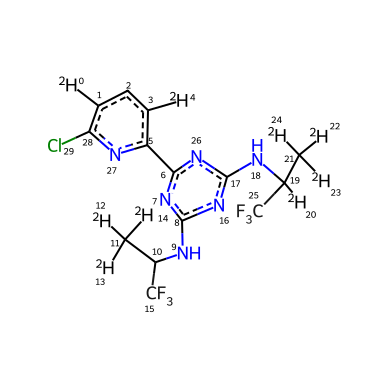 [2H]c1cc([2H])c(-c2nc(NC(C([2H])([2H])[2H])C(F)(F)F)nc(NC([2H])(C([2H])([2H])[2H])C(F)(F)F)n2)nc1Cl